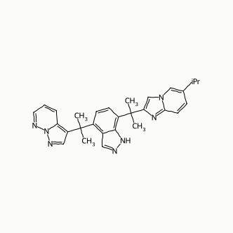 CC(C)c1ccc2nc(C(C)(C)c3ccc(C(C)(C)c4cnn5ncccc45)c4cn[nH]c34)cn2c1